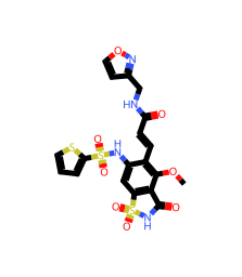 COc1c(/C=C/C(=O)NCc2ccon2)c(NS(=O)(=O)c2cccs2)cc2c1C(=O)NS2(=O)=O